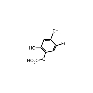 CCc1cc(OC(=O)O)c(O)cc1C